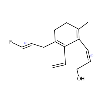 C=CC1=C(C/C=C/F)CCC(C)=C1/C=C\CO